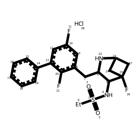 CCS(=O)(=O)NC1C(Cc2cc(F)cc(-c3ccccc3)c2F)NC2CC1(F)C2.Cl